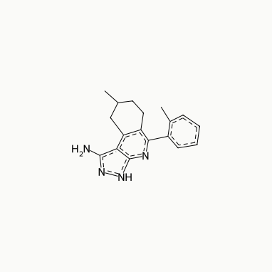 Cc1ccccc1-c1nc2[nH]nc(N)c2c2c1CCC(C)C2